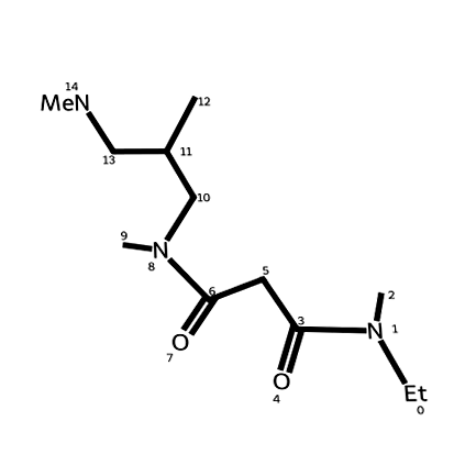 CCN(C)C(=O)CC(=O)N(C)CC(C)CNC